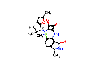 Cc1ccc([C@H](Nc2c(Nc3c(F)ccc4c3C(O)NC4C)c(=O)c2=O)C(C)(C)C)o1